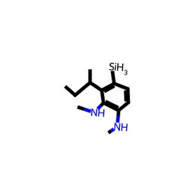 CCC(C)c1c([SiH3])ccc(NC)c1NC